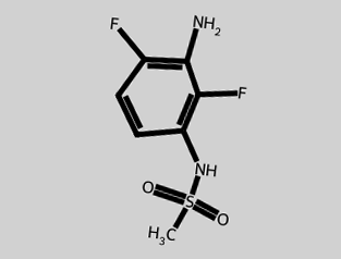 CS(=O)(=O)Nc1ccc(F)c(N)c1F